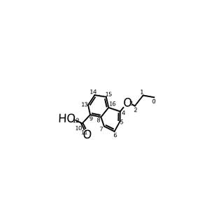 CCCOc1cccc2c(C(=O)O)cccc12